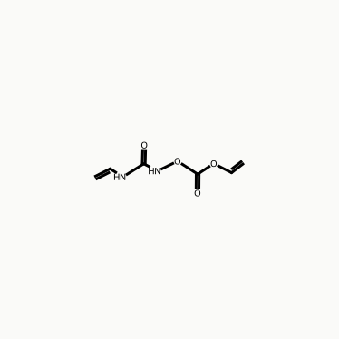 C=CNC(=O)NOC(=O)OC=C